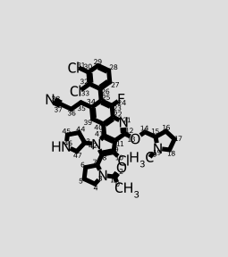 CC(=O)N1CCCC1c1c(Cl)c2c(OCC3CCCN3C)nc3c(F)c(-c4cccc(Cl)c4Cl)c(CCC#N)cc3c2n1C1CCNC1